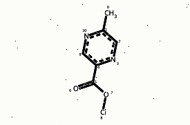 Cc1cnc(C(=O)OCl)cn1